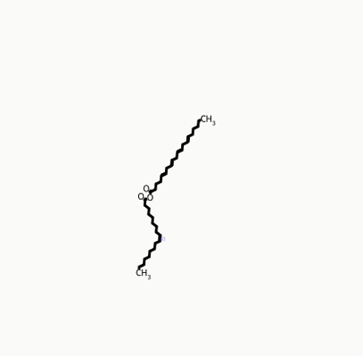 CCCCCC=CCC=CCC=CCC=CCCCC(=O)OC(=O)CCCCCCC/C=C\CCCCCCCC